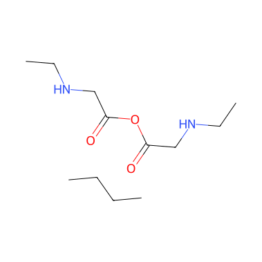 CCCC.CCNCC(=O)OC(=O)CNCC